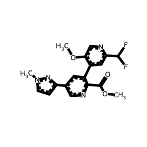 COC(=O)c1ncc(-c2ccn(C)n2)cc1-c1cc(C(F)F)ncc1OC